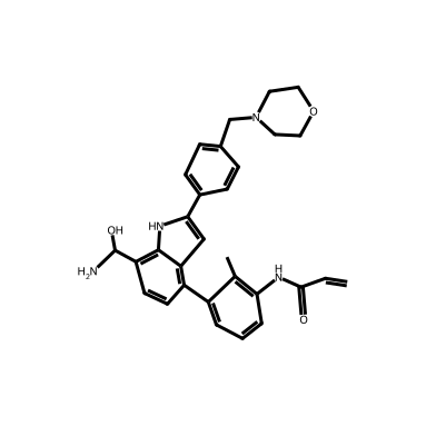 C=CC(=O)Nc1cccc(-c2ccc(C(N)O)c3[nH]c(-c4ccc(CN5CCOCC5)cc4)cc23)c1C